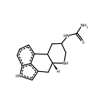 NC(=S)NC1CN[C@@H]2Cc3c[nH]c4cccc(c34)C2C1